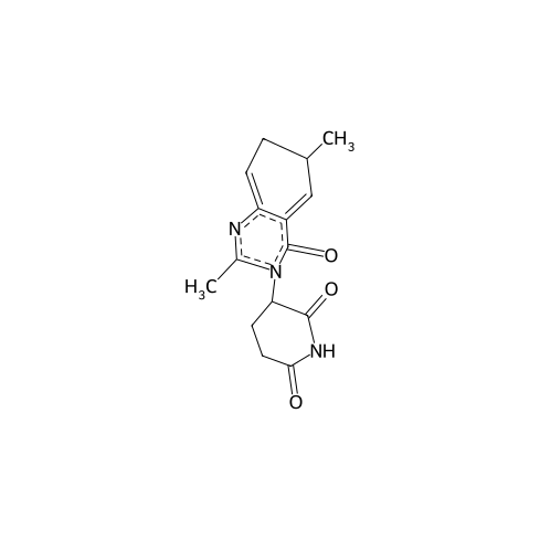 Cc1nc2c(c(=O)n1C1CCC(=O)NC1=O)=CC(C)CC=2